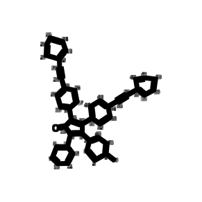 Cc1ccc(C2=C(c3ccccc3)C(=O)C(c3ccc(C#Cc4ccccc4)cc3)=C2c2ccc(C#Cc3ccccc3)cc2)cc1